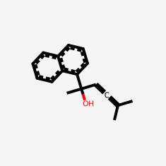 CC(C)=C=CC(C)(O)c1cccc2ccccc12